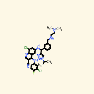 CC(C)n1cc(C(Nc2cc(Cl)c3ncc(C#N)c(Nc4ccc(F)c(Cl)c4)c3c2)c2cccc(CNCCN(C)C)c2)nn1